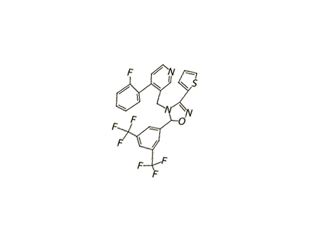 Fc1ccccc1-c1ccncc1CN1C(c2cccs2)=NOC1c1cc(C(F)(F)F)cc(C(F)(F)F)c1